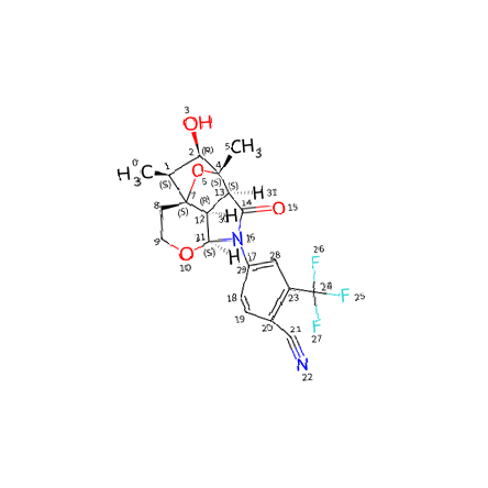 C[C@H]1[C@@H](O)[C@@]2(C)O[C@@]13CCO[C@H]1[C@@H]3[C@@H]2C(=O)N1c1ccc(C#N)c(C(F)(F)F)c1